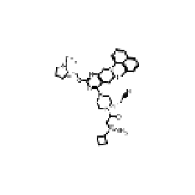 CN1CCC[C@H]1COc1nc2c(c(N3CCN(C(=O)C[C@@H](N)C4CCC4)[C@@H](CC#N)C3)n1)CCN(c1cccc3cccc(Cl)c13)C2